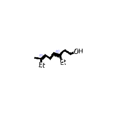 CC/C(C)=C\C/C=C(\CC)CCO